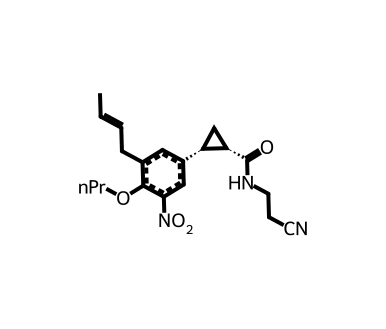 CC=CCc1cc([C@@H]2C[C@@H]2C(=O)NCCC#N)cc([N+](=O)[O-])c1OCCC